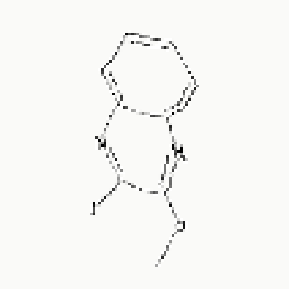 COc1nc2ccccc2nc1I